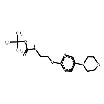 CC(C)(C)OC(=O)NCCOc1ncc(N2CCOCC2)cn1